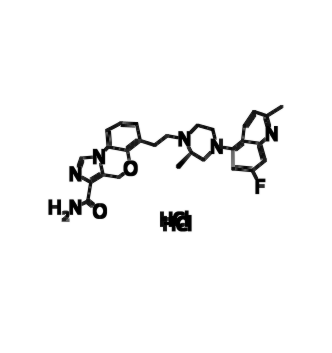 Cc1ccc2c(N3CCN(CCc4cccc5c4OCc4c(C(N)=O)ncn4-5)[C@H](C)C3)cc(F)cc2n1.Cl.Cl